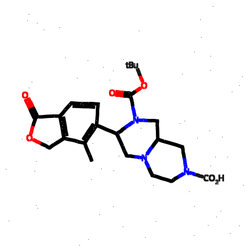 Cc1c(C2CN3CCN(C(=O)O)CC3CN2C(=O)OC(C)(C)C)ccc2c1COC2=O